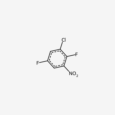 O=[N+]([O-])c1cc(F)cc(Cl)c1F